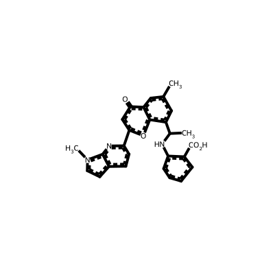 Cc1cc(C(C)Nc2ccccc2C(=O)O)c2oc(-c3ccc4ccn(C)c4n3)cc(=O)c2c1